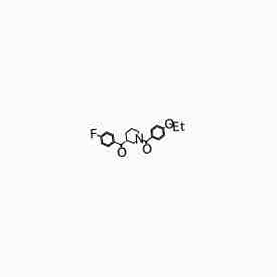 CCOc1ccc(C(=O)N2CCC[C@H](C(=O)c3ccc(F)cc3)C2)cc1